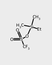 CC[Si](C)(C)OS(=O)(=O)C(F)(F)F